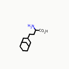 NC(CCC1CC2CCCC(C2)C1)C(=O)O